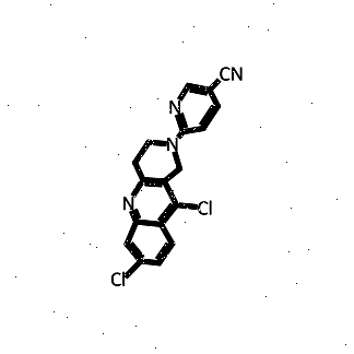 N#Cc1ccc(N2CCc3nc4cc(Cl)ccc4c(Cl)c3C2)nc1